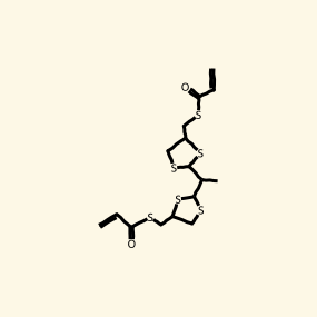 C=CC(=O)SCC1CSC(C(C)C2SCC(CSC(=O)C=C)S2)S1